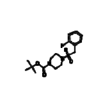 CC(C)(C)OC(=O)N1CCN(S(=O)(=O)Cc2ccccc2F)CC1